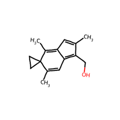 CC1=CC2=C(C)C3(CC3)C(C)=CC2=C1CO